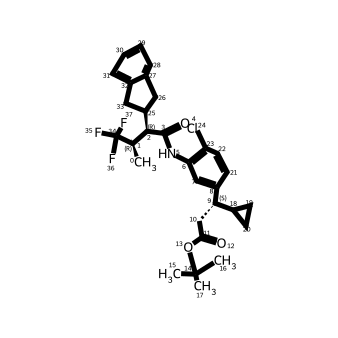 C[C@H]([C@H](C(=O)Nc1cc([C@@H](CC(=O)OC(C)(C)C)C2CC2)ccc1Cl)C1Cc2ccccc2C1)C(F)(F)F